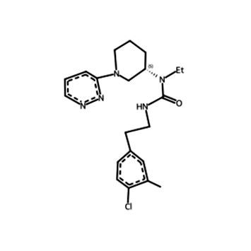 CCN(C(=O)NCCc1ccc(Cl)c(C)c1)[C@H]1CCCN(c2cccnn2)C1